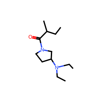 CCC(C)C(=O)N1CCC(N(CC)CC)C1